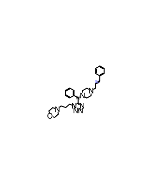 C(=C\c1ccccc1)/CN1CCN([C@@H](c2ccccc2)c2nnnn2CCCN2CCOCC2)CC1